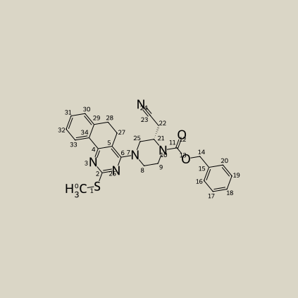 CSc1nc2c(c(N3CCN(C(=O)OCc4ccccc4)[C@@H](CC#N)C3)n1)CCc1ccccc1-2